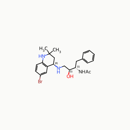 CC(=O)N[C@@H](Cc1ccccc1)[C@@H](O)CN[C@@H]1CC(C)(C)Nc2ccc(Br)cc21